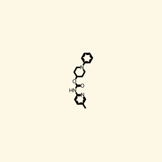 Cc1ccc(NC(=O)OC2CCN(c3ccccc3)CC2)nc1